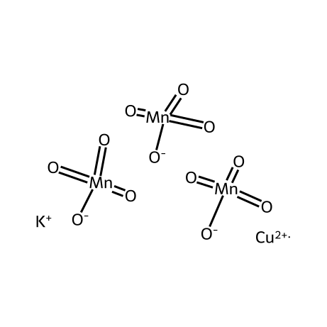 [Cu+2].[K+].[O]=[Mn](=[O])(=[O])[O-].[O]=[Mn](=[O])(=[O])[O-].[O]=[Mn](=[O])(=[O])[O-]